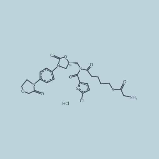 Cl.NCC(=O)SCCCCC(=O)N(C[C@H]1CN(c2ccc(N3CCOCC3=O)cc2)C(=O)O1)C(=O)c1ccc(Cl)s1